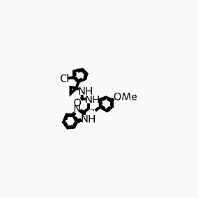 COc1ccc(C[C@@H](NC(=O)NC2(c3ccccc3Cl)CC2)c2nc3ccccc3[nH]2)cc1